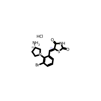 Cl.N[C@H]1CCN(c2c(Br)cccc2/C=C2\SC(=O)NC2=O)C1